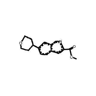 COC(=O)c1cc2ccc(C3CCOCC3)cc2cn1